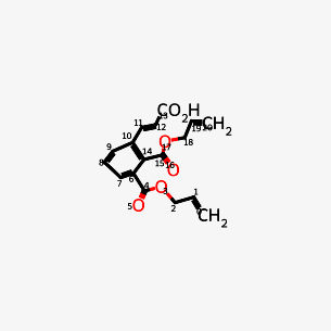 C=CCOC(=O)c1cccc(C=CC(=O)O)c1C(=O)OCC=C